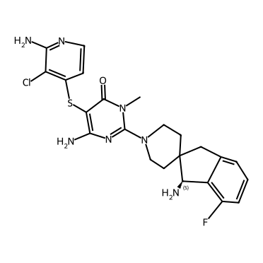 Cn1c(N2CCC3(CC2)Cc2cccc(F)c2[C@H]3N)nc(N)c(Sc2ccnc(N)c2Cl)c1=O